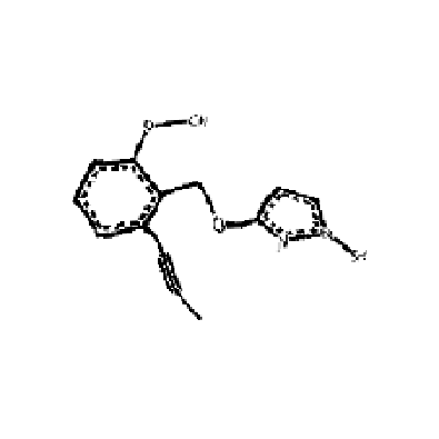 CC#Cc1cccc(OC#N)c1COc1ccn(S)n1